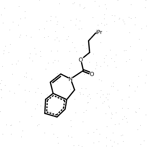 CC(C)CCOC(=O)N1C=Cc2ccccc2C1